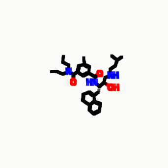 CCCN(CCC)C(=O)c1cc(C)cc(C(=O)N[C@@H](Cc2cccc3ccccc23)[C@H](O)CNCCC(C)C)c1